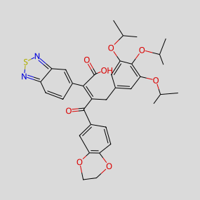 CC(C)Oc1cc(C/C(C(=O)c2ccc3c(c2)OCCO3)=C(\C(=O)O)c2ccc3nsnc3c2)cc(OC(C)C)c1OC(C)C